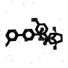 O=C(N[C@@H]1C[C@H]2CC[C@@H](C1)N2C(=O)N1CCC(O)CC1)c1ccc(-c2cccc(F)c2)nc1